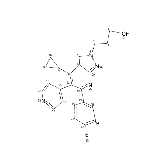 OCCCn1cc2c(C3CC3)c(-c3ccncc3)c(-c3ccc(F)cc3)nc2n1